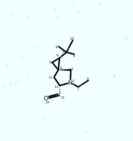 CCN1C[C@]2(CC2C(C)(C)C)C[C@H]1C=O